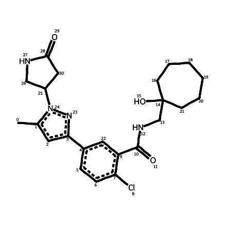 Cc1cc(-c2ccc(Cl)c(C(=O)NCC3(O)CCCCCC3)c2)nn1C1CNC(=O)C1